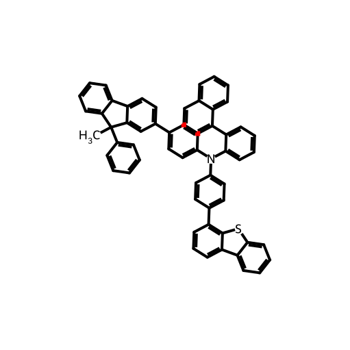 CC1(c2ccccc2)c2ccccc2-c2ccc(-c3ccc(N(c4ccc(-c5cccc6c5sc5ccccc56)cc4)c4ccccc4-c4cccc5ccccc45)cc3)cc21